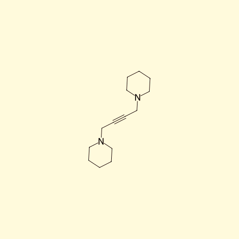 C(#CCN1CCCCC1)CN1CCCCC1